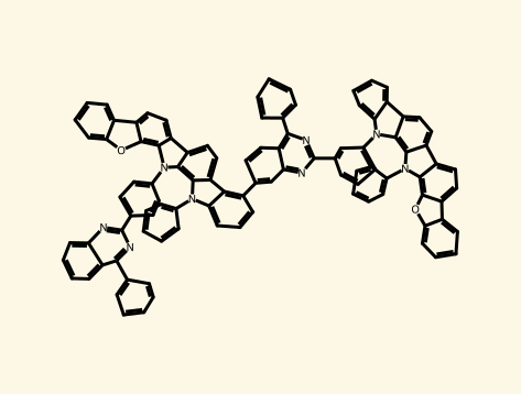 c1ccc(-c2nc(-c3ccc(-n4c5c(ccc6c7ccccc7oc65)c5ccc6c7c(-c8ccc9c(-c%10ccccc%10)nc(-c%10cccc(-n%11c%12ccccc%12c%12ccc%13c%14ccc%15c%16ccccc%16oc%15c%14n(-c%14ccccc%14)c%13c%12%11)c%10)nc9c8)cccc7n(-c7ccccc7)c6c54)cc3)nc3ccccc23)cc1